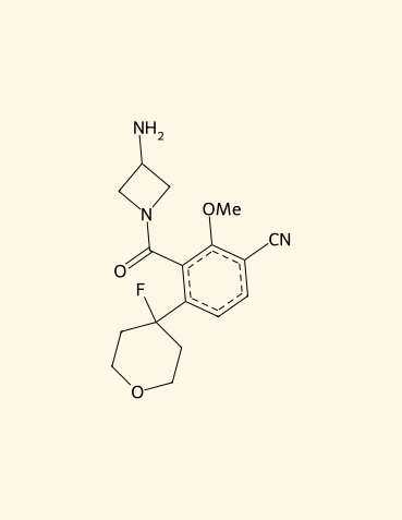 COc1c(C#N)ccc(C2(F)CCOCC2)c1C(=O)N1CC(N)C1